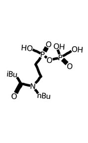 CCCCN(CCP(=O)(O)OP(=O)(O)O)C(=O)C(C)CC